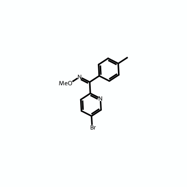 CO/N=C(/c1ccc(C)cc1)c1ccc(Br)cn1